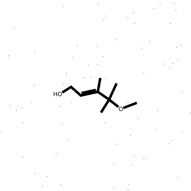 COC(C)(C)C(C)=CCO